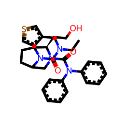 CCN(Cc1ccsc1)C(=O)N1C2CCC1[C@@H](CCO)N(C(=O)N(c1ccccc1)c1ccccc1)C2